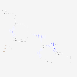 COc1cc(Nc2nccc(C(F)(F)F)n2)cc(Br)n1